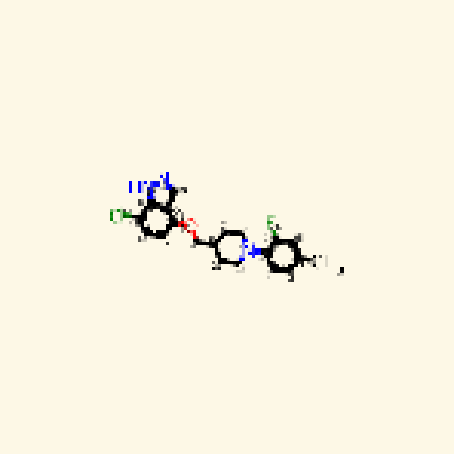 Cc1ccc(N2CCC(COc3ccc(Cl)c4[nH]ncc34)CC2)c(F)c1